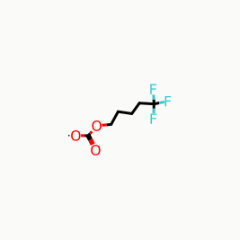 [O]C(=O)OCCCCC(F)(F)F